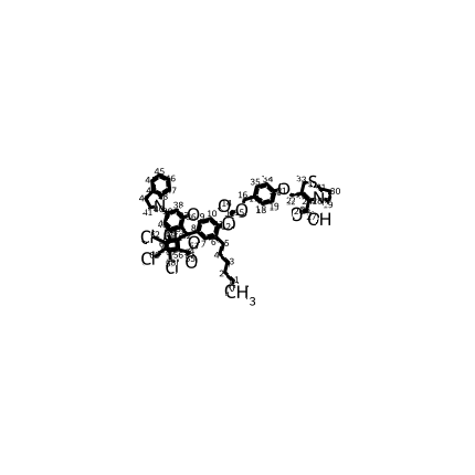 CCCCCCc1cc2c(cc1OC(=O)OCc1ccc(OCC3=C(C(=O)O)N4CCC4SC3)cc1)Oc1cc(N3CCc4ccccc43)ccc1C21OC(=O)c2c(Cl)c(Cl)c(Cl)c(Cl)c21